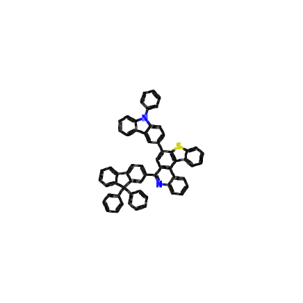 c1ccc(-n2c3ccccc3c3cc(-c4cc5c(-c6ccc7c(c6)C(c6ccccc6)(c6ccccc6)c6ccccc6-7)nc6ccccc6c5c5c4sc4ccccc45)ccc32)cc1